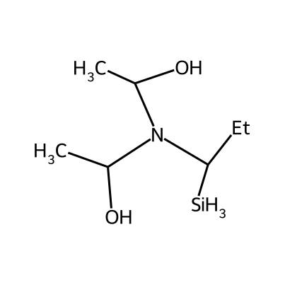 CCC([SiH3])N(C(C)O)C(C)O